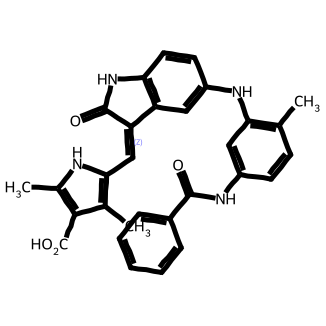 Cc1ccc(NC(=O)c2ccccc2)cc1Nc1ccc2c(c1)/C(=C/c1[nH]c(C)c(C(=O)O)c1C)C(=O)N2